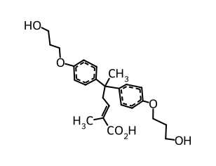 CC(=CCC(C)(c1ccc(OCCCO)cc1)c1ccc(OCCCO)cc1)C(=O)O